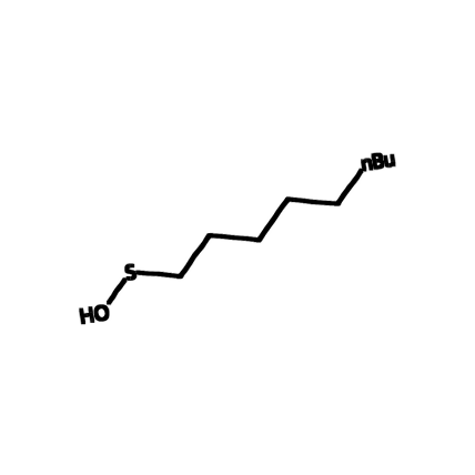 CCCCCCCCCSO